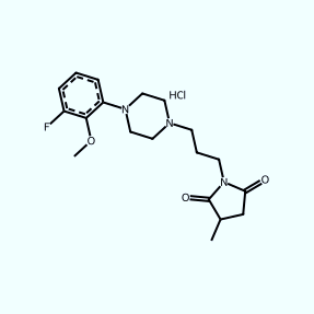 COc1c(F)cccc1N1CCN(CCCN2C(=O)CC(C)C2=O)CC1.Cl